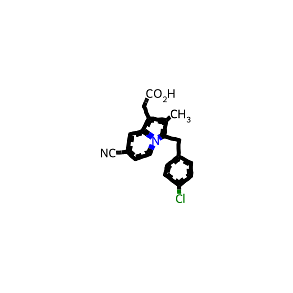 Cc1c(CC(=O)O)c2cc(C#N)ccn2c1Cc1ccc(Cl)cc1